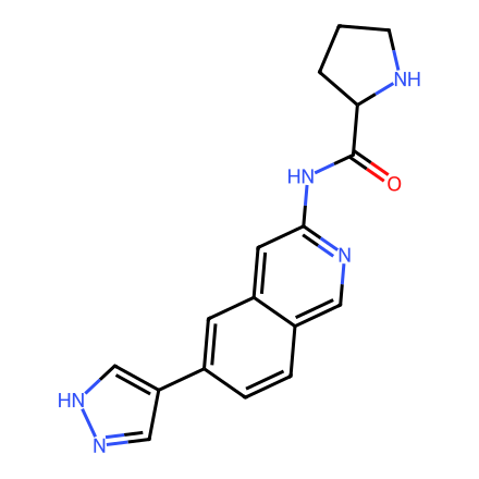 O=C(Nc1cc2cc(-c3cn[nH]c3)ccc2cn1)C1CCCN1